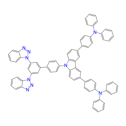 c1ccc(N(c2ccccc2)c2ccc(-c3ccc4c(c3)c3cc(-c5ccc(N(c6ccccc6)c6ccccc6)cc5)ccc3n4-c3ccc(-c4cc(-n5nnc6ccccc65)cc(-n5nnc6ccccc65)c4)cc3)cc2)cc1